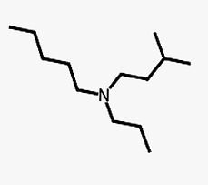 CCCCCN(CCC)CCC(C)C